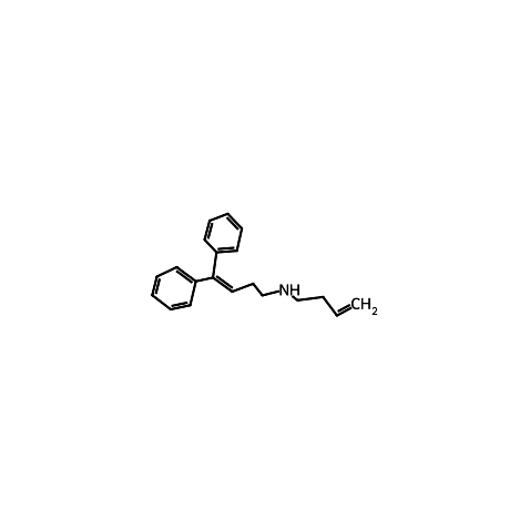 C=CCCNCCC=C(c1ccccc1)c1ccccc1